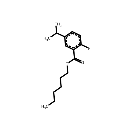 CCCCCCOC(=O)c1cc(C(C)C)ccc1F